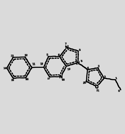 CCc1cc(-n2cnc3cc(-c4ccccc4)cnc32)co1